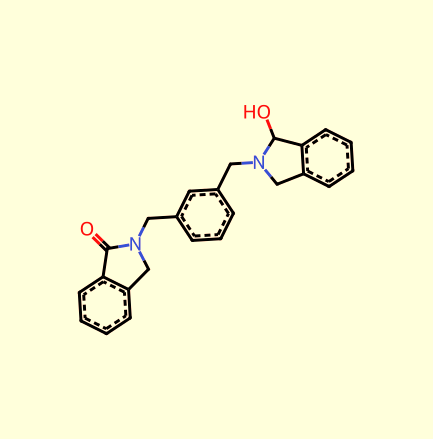 O=C1c2ccccc2CN1Cc1cccc(CN2Cc3ccccc3C2O)c1